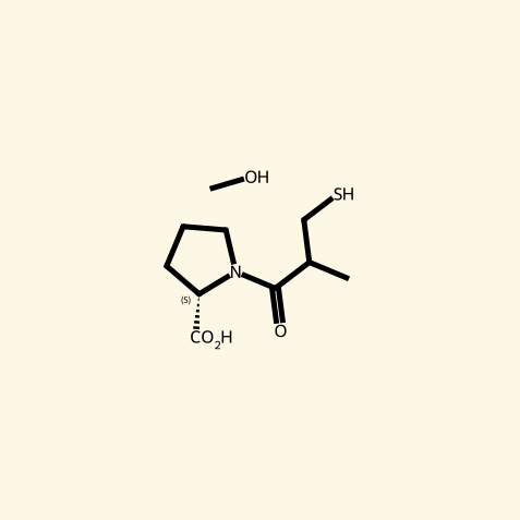 CC(CS)C(=O)N1CCC[C@H]1C(=O)O.CO